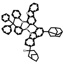 CCC1(c2ccc3c(c2)c2cc(C45CC6CC(CC(C6)C4)C5)cc4c2n3B2c3cccc5c3N(c3ccccc3C5(c3ccccc3)c3ccccc3)c3c2c-4cc2c3oc3ccccc32)CC2CCC(C2)C1